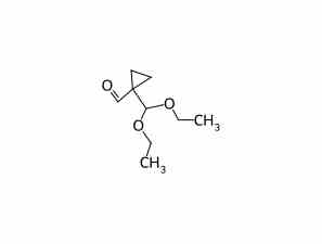 CCOC(OCC)C1(C=O)CC1